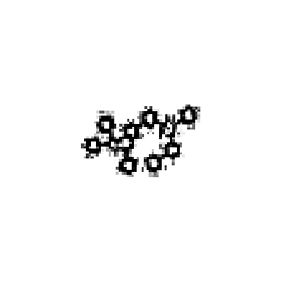 c1ccc(-c2cccc(-c3nc(-c4ccccc4)nc(-c4cccc(-c5ccc6c(c5)cc(-c5ccccc5)n5nc(-c7ccccc7)c(-c7ccccc7)c65)c4)n3)c2)cc1